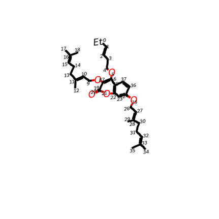 CCC=CCCOc1c(OC/C=C(\C)CCC=C(C)C)c(=O)oc2cc(OC/C=C(\C)CCC=C(C)C)ccc12